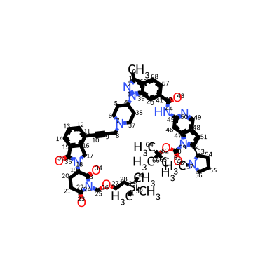 Cc1nn(C2CCN(CC#Cc3cccc4c3CN(C3CCC(=O)N(COCC[Si](C)(C)C)C3=O)C4=O)CC2)c2cc(C(=O)Nc3cc4c(cn3)cc([C@H]3CCCN3C)n4C(=O)OC(C)(C)C)ccc12